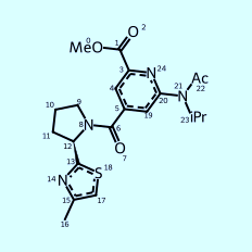 COC(=O)c1cc(C(=O)N2CCC[C@@H]2c2nc(C)cs2)cc(N(C(C)=O)C(C)C)n1